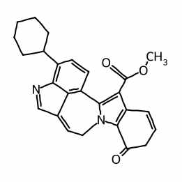 COC(=O)c1c2c(n3c1-c1ccc(C4CCCCC4)c4c1C(=CC3)C=N4)C(=O)CC=C2